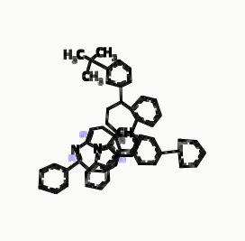 C[C@H]1C/C=C(n2c3ccccc3c3ccc4c(c32)CCC(c2cccc(C(C)(C)C)c2)c2ccccc2-4)/N=C(/c2ccccc2)CC/C=C\1c1ccc(-c2ccccc2)cc1